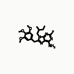 CCC(C)Cn1c(Cc2cc(OC)c(OC)c(OC)c2)nc2c(N)nc(F)nc21